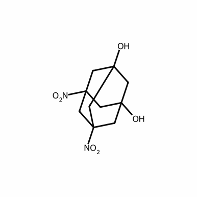 O=[N+]([O-])C12CC3(O)CC(O)(C1)CC([N+](=O)[O-])(C3)C2